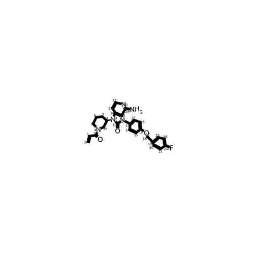 C=CC(=O)N1CCC[C@@H](n2c(=O)n(-c3ccc(OCc4ccc(F)cc4)cc3)c3c(N)nccc32)C1